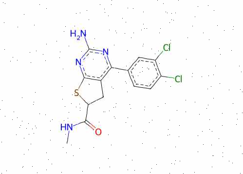 CNC(=O)C1Cc2c(nc(N)nc2-c2ccc(Cl)c(Cl)c2)S1